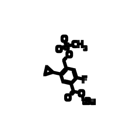 CC(C)(C)OC(=O)c1cc(C2CC2)c(COS(C)(=O)=O)cc1F